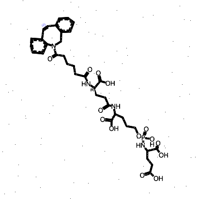 O=C(O)CCC(NP(=O)(O)OCCCC(NC(=O)CC[C@@H](NC(=O)CCCCC(=O)N1Cc2ccccc2/C=C\c2ccccc21)C(=O)O)C(=O)O)C(=O)O